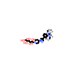 CCn1c(C)[n+](CC)c2ccc(-c3cnn(C4CCN(C[C@H](O)[C@@H](O)[C@H](O)[C@H](O)CO)CC4)c3)cc21